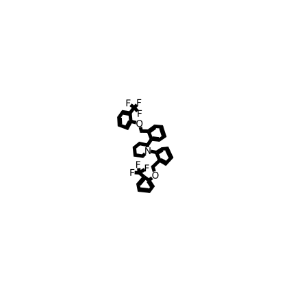 FC(F)(F)c1ccccc1OCc1ccccc1C1CCCCN1c1ccccc1COc1ccccc1C(F)(F)F